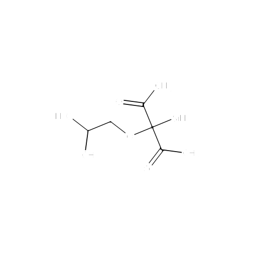 CC(=O)C([SiH3])(OCC(C)C)C(C)=O